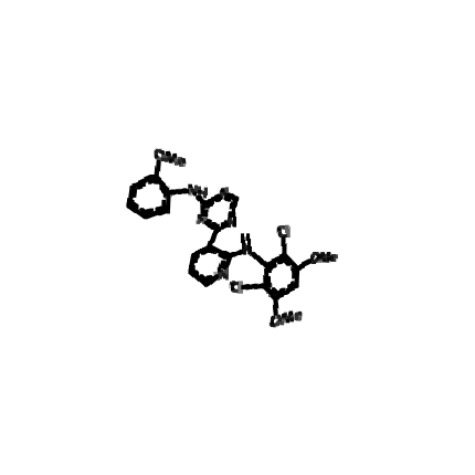 COc1ccccc1Nc1ncnc(-c2cccnc2Nc2c(Cl)c(OC)cc(OC)c2Cl)n1